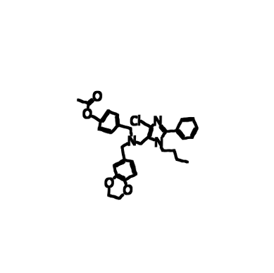 CCCCn1c(-c2ccccc2)nc(Cl)c1CN(Cc1ccc(OC(C)=O)cc1)Cc1ccc2c(c1)OCCO2